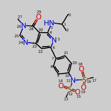 CC(C)Nc1nc(-c2ccc(N(S(C)(=O)=O)S(C)(=O)=O)cc2)cc2ncn(C)c(=O)c12